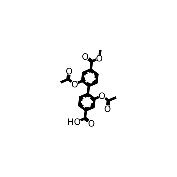 COC(=O)c1ccc(-c2ccc(C(=O)O)cc2OC(C)=O)c(OC(C)=O)c1